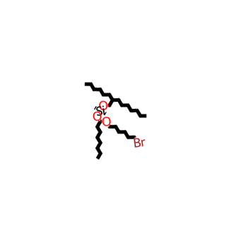 CCCCCCCC(CCCCCC)CO[Si](C)(C)OC(CCCCCCC)OCCCCCCBr